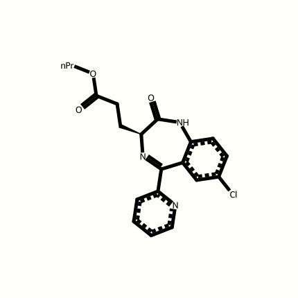 CCCOC(=O)CC[C@@H]1N=C(c2ccccn2)c2cc(Cl)ccc2NC1=O